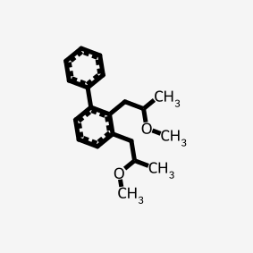 COC(C)Cc1cccc(-c2ccccc2)c1CC(C)OC